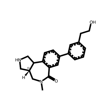 CN1C[C@@H]2CNCC2c2ccc(-c3cccc(CCO)c3)cc2C1=O